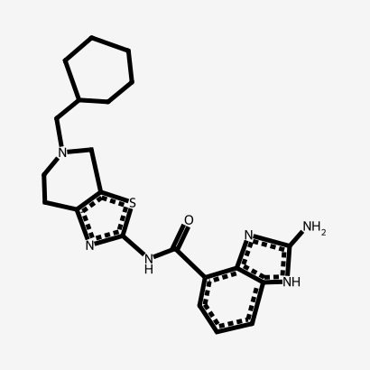 Nc1nc2c(C(=O)Nc3nc4c(s3)CN(CC3CCCCC3)CC4)cccc2[nH]1